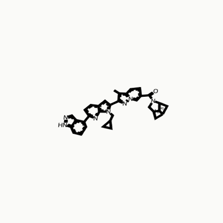 Cc1c(-c2cc3ccc(-c4cccc5[nH]ncc45)nc3n2CC2CC2)nn2cc(C(=O)N3CC4CC5CC3[C@H]54)ccc12